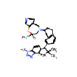 Cc1c(C(c2ccc3c(c2)C(N2Cc4ccncc4OC(C)(C)C2)CC3)C(C)(C)C(=O)O)ccc2c1nnn2C